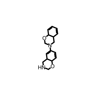 C1=CC2CN(C3=CC4CNCOC4C=C3)COC2C=C1